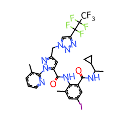 Cc1cccnc1-n1nc(Cn2cc(C(F)(F)C(F)(F)C(F)(F)F)nn2)cc1C(=O)Nc1c(C)cc(I)cc1C(=O)NC(C)C1CC1